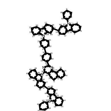 c1ccc(-n2c3ccccc3c3ccc(-c4ccc5c6ccccc6n(-c6ccc(-c7ccc(-c8nc(-n9c%10ccccc%10c%10ccc(-c%11ccc%12c%13ccccc%13n(-c%13ccccc%13)c%12c%11)cc%109)c9ccc%10ccccc%10c9n8)cc7)cc6)c5c4)cc32)cc1